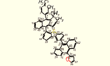 C=C/C=C\C(=C/C)c1c(C=C)c(/C=C\C)c(-c2cccc3c2sc2ccc(-c4c5ccccc5c(-c5ccco5)c5ccccc45)cc23)c2ccccc12